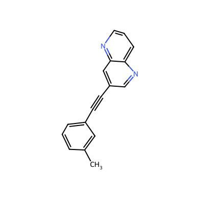 Cc1cccc(C#Cc2cnc3cccnc3c2)c1